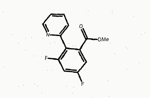 COC(=O)c1cc(F)cc(F)c1-c1ccccn1